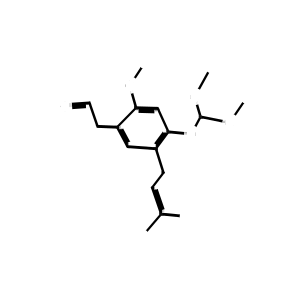 COc1cc(OC(OC)OC)c(CC=C(C)C)cc1CC=O